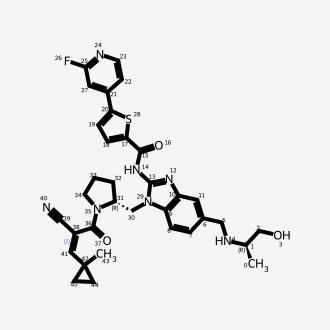 C[C@H](CO)NCc1ccc2c(c1)nc(NC(=O)c1ccc(-c3ccnc(F)c3)s1)n2C[C@H]1CCCN1C(=O)/C(C#N)=C\C1(C)CC1